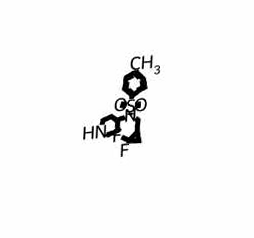 Cc1ccc(S(=O)(=O)N(CC2CC2(F)F)C2CCNCC2)cc1